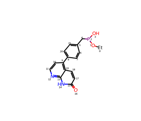 CCOP(O)Cc1ccc(-c2ccnc3[nH]c(=O)ccc23)cc1